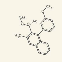 CC(=O)[C@@H](OC(C)(C)C)c1c(C)cc2ccccc2c1-c1cccc(OC(F)(F)F)c1